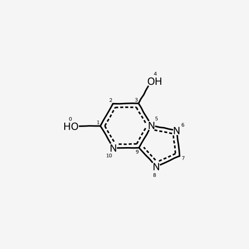 Oc1cc(O)n2ncnc2n1